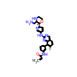 C=CC(=O)Nc1cccc(-c2c(F)ccc3cnc(Nc4ccc([C@@H]5OCCNC5CN)nc4)nc23)c1